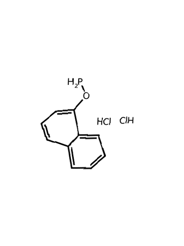 Cl.Cl.POc1cccc2ccccc12